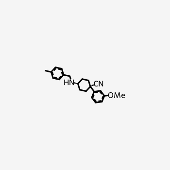 COc1cccc([C@]2(C#N)CC[C@@H](NCc3ccc(C)cc3)CC2)c1